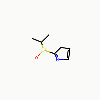 CC(C)[S+]([O-])C1=NC=CC1